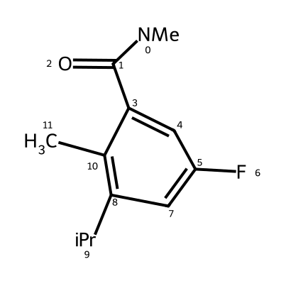 CNC(=O)c1cc(F)cc(C(C)C)c1C